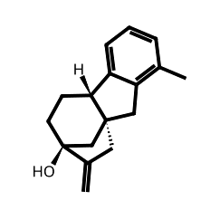 C=C1C[C@@]23Cc4c(C)cccc4[C@H]2CC[C@]1(O)C3